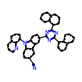 N#Cc1ccc2c(c1)c1cc(-c3nc(-c4cccc5ccccc45)nc(-c4cccc5ccccc45)n3)ccc1n2-c1cccc2cccnc12